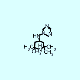 CC1(C)CC(NN2C=NC=NC2)CC(C)(C)N1